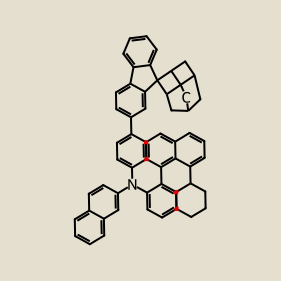 c1ccc(N(c2ccc(-c3ccc4c(c3)C3(c5ccccc5-4)C4CC5CC6CC3C64C5)cc2)c2ccc3ccccc3c2)c(-c2cccc3cccc(C4CCCCC4)c23)c1